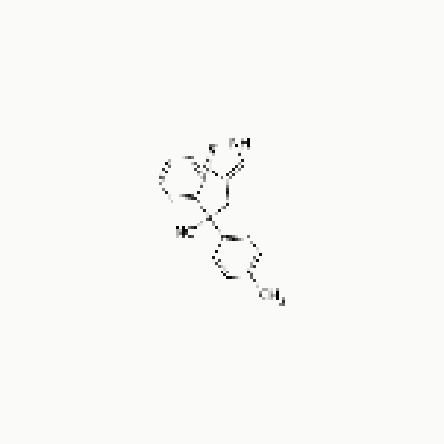 Cc1ccc(C(C#N)(Cc2c[nH]cn2)c2ccccc2)cc1